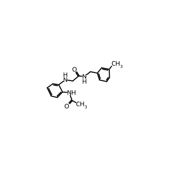 CC(=O)Nc1ccccc1NCC(=O)NCc1cccc(C)c1